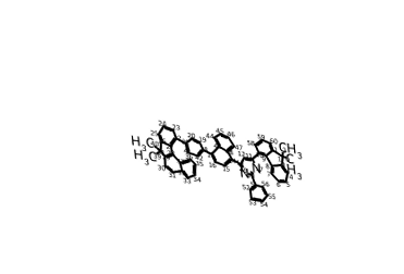 CC1(C)c2ccccc2-c2c(-c3cc(-c4ccc(-c5ccc(-c6cccc7c6-c6c(ccc8ccccc68)C7(C)C)cc5)c5ccccc45)nc(-c4ccccc4)n3)cccc21